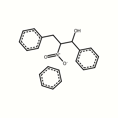 O=[N+]([O-])C(Cc1ccccc1)C(O)c1ccccc1.c1ccccc1